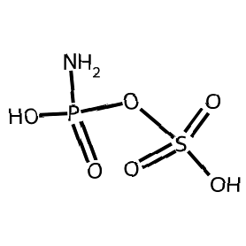 NP(=O)(O)OS(=O)(=O)O